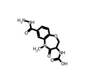 CN1C(=O)C(NC(=O)O)COc2ccc(C(=O)NN)cc21